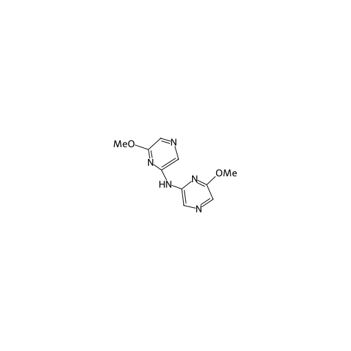 COc1cncc(Nc2cncc(OC)n2)n1